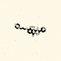 CCn1c(NC(=O)c2ccnnc2)nc2c(OC)c(OCCCN3CCOCC3)ccc2c1=O